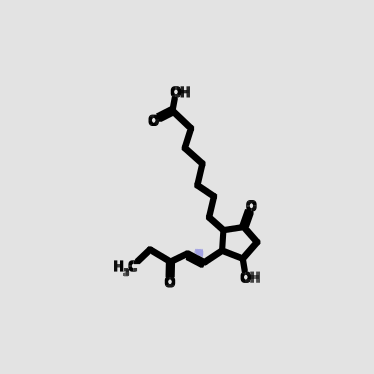 CCC(=O)/C=C/C1C(O)CC(=O)C1CCCCCCC(=O)O